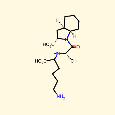 C[C@H](N[C@@H](CCCCN)C(=O)O)C(=O)N1[C@@H]2CCCC[C@@H]2C[C@H]1C(=O)O